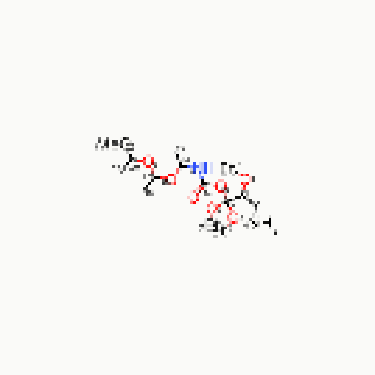 CCOC(C[SiH3])C(OCC)(OCC)OC(=O)NC(C)OC(C)OC(C)OC